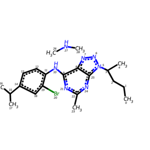 CCCC(C)n1nnc2c(Nc3ccc(C(C)C)cc3Br)nc(C)nc21.CNC